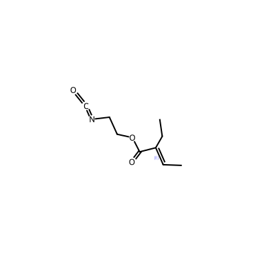 C/C=C(\CC)C(=O)OCCN=C=O